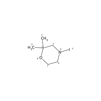 CC1(C)CN(I)CCO1